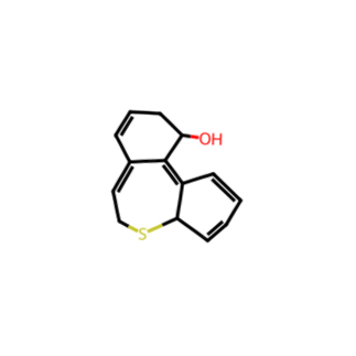 OC1CC=CC2=CCSC3C=CC=CC3=C21